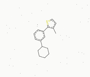 Cc1ccsc1-c1cccc(C2CCCCC2)c1